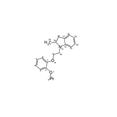 CC(C)Oc1ccccc1OCCN1c2ccccc2CC1C